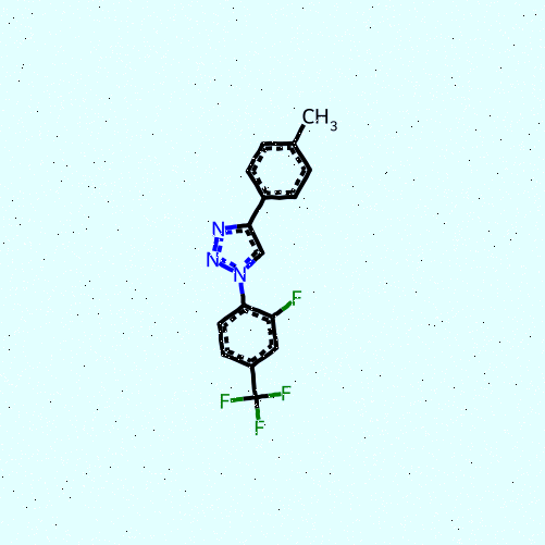 Cc1ccc(-c2cn(-c3ccc(C(F)(F)F)cc3F)nn2)cc1